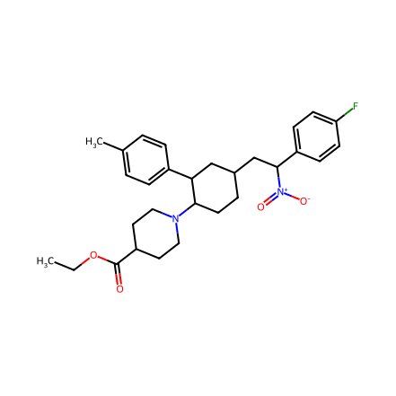 CCOC(=O)C1CCN(C2CCC(CC(c3ccc(F)cc3)[N+](=O)[O-])CC2c2ccc(C)cc2)CC1